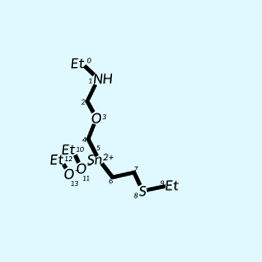 CCNCO[CH2][Sn+2][CH2]CSCC.CC[O-].CC[O-]